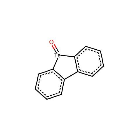 O=[Te]1c2ccccc2-c2ccccc21